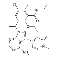 C=C/C(=C\C(=C)NC)c1nn(C(C)c2cc(Cl)c(C)c(C(=O)NCC)c2OCC)c2ncnc(N)c12